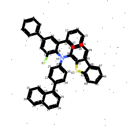 Fc1cc(-c2ccccc2)cc(-c2ccccc2)c1N(c1ccc(-c2cccc3ccccc23)cc1)c1cccc2c1sc1ccccc12